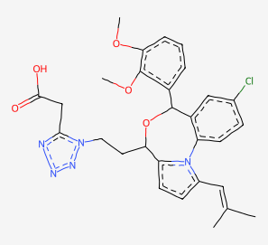 COc1cccc(C2OC(CCn3nnnc3CC(=O)O)c3ccc(C=C(C)C)n3-c3ccc(Cl)cc32)c1OC